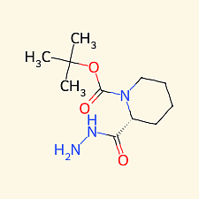 CC(C)(C)OC(=O)N1CCCC[C@@H]1C(=O)NN